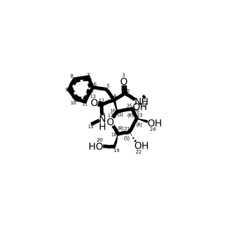 CNC(=O)C(Cc1ccccc1)(C(=O)NC)[C@@H]1O[C@H](CO)[C@@H](O)[C@H](O)[C@H]1O